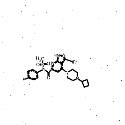 CC(C)c1n[nH]c2nc(C(=O)N(c3ccc(F)cc3)S(C)(=O)=O)cc(N3CCN(C4CCC4)CC3)c12